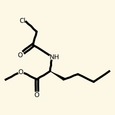 CCCC[C@H](NC(=O)CCl)C(=O)OC